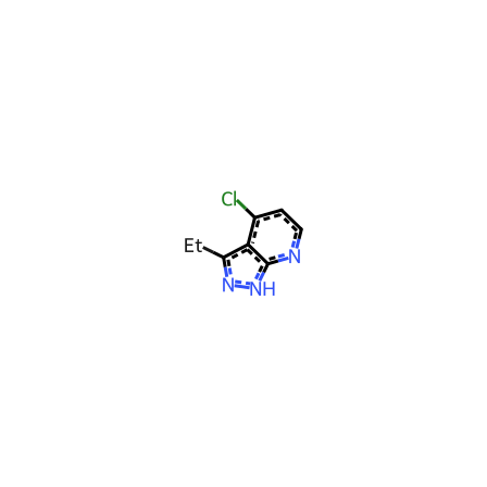 CCc1n[nH]c2nccc(Cl)c12